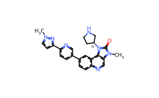 Cn1ccc(-c2ccc(-c3ccc4ncc5c(c4c3)n([C@H]3CCNC3)c(=O)n5C)cn2)n1